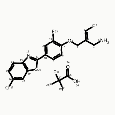 NCC(=CF)COc1ccc(-c2nc3ccc(Cl)cc3s2)cc1F.O=C(O)C(F)(F)F